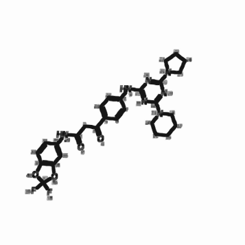 O=C(CC(=O)c1ccc(Nc2nc(N3CCCCC3)nc(N3CCCC3)n2)cc1)Nc1ccc2c(c1)OC(F)(F)O2